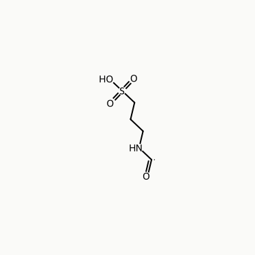 O=[C]NCCCS(=O)(=O)O